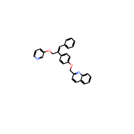 C(=C(\COc1cccnc1)c1ccc(OCc2ccc3ccccc3n2)cc1)/c1ccccc1